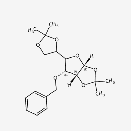 CC1(C)OCC(C2O[C@@H]3OC(C)(C)O[C@@H]3[C@@H]2OCc2ccccc2)O1